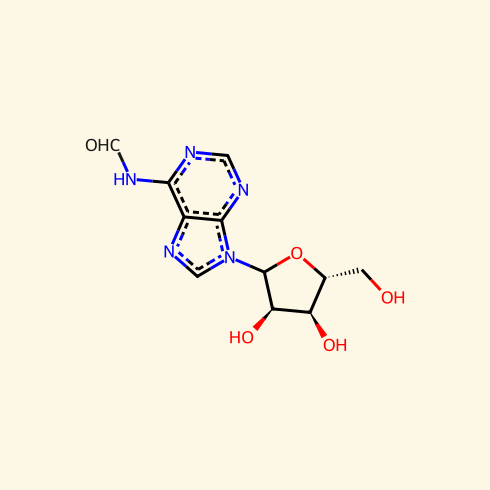 O=CNc1ncnc2c1ncn2C1O[C@H](CO)[C@@H](O)[C@H]1O